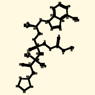 CC(C)OC(=O)COP(=O)(CO[C@@H](C)Cn1cnc2c(N)ncnc21)NC(C)(C)C(=O)OC1CCCC1